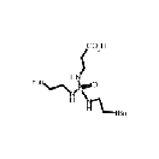 CC(C)(C)CCNP(=O)(NCCC(=O)O)NCCC(C)(C)C